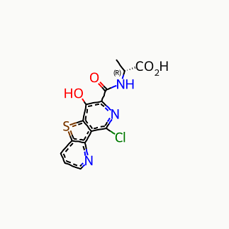 C[C@@H](NC(=O)c1nc(Cl)c2c(sc3cccnc32)c1O)C(=O)O